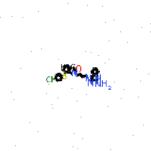 CC(=O)N(CCCCn1cnc2c(N)nc3ccccc3c21)Cc1ccccc1Sc1ccc(Cl)cc1